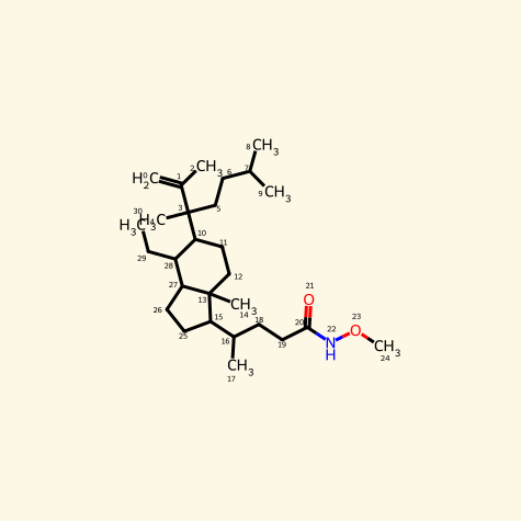 C=C(C)C(C)(CCC(C)C)C1CCC2(C)C(C(C)CCC(=O)NOC)CCC2C1CC